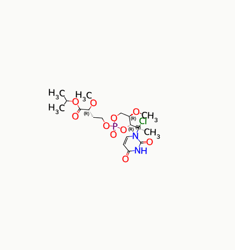 CO[C@H](CCOP1(=O)OC[C@@H](OC)[C@H]([C@@](C)(Cl)n2ccc(=O)[nH]c2=O)O1)C(=O)OC(C)C